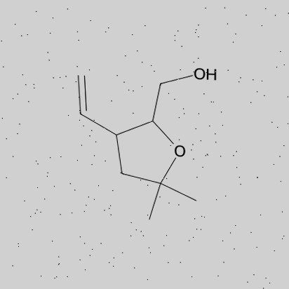 C=CC1CC(C)(C)OC1CO